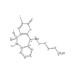 C=C1CC2=C(C=C1I)S(=O)(=O)N(C)c1ccccc1C2NCCCCC(=O)OCC